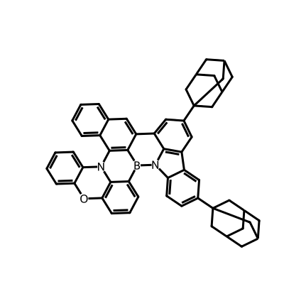 c1ccc2c(c1)Oc1cccc3c1N2c1c2c(cc4ccccc14)-c1cc(C45CC6CC(CC(C6)C4)C5)cc4c5cc(C67CC8CC(CC(C8)C6)C7)ccc5n(c14)B32